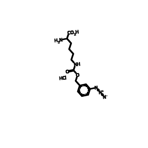 Cl.[N-]=[N+]=Nc1cccc(COC(=O)NCCCCC(N)C(=O)O)c1